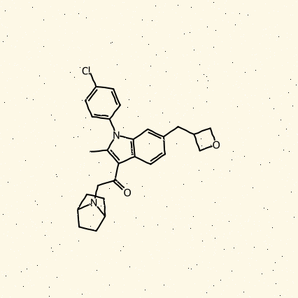 Cc1c(C(=O)CN2C3CCC2CC3)c2ccc(CC3COC3)cc2n1-c1ccc(Cl)cc1